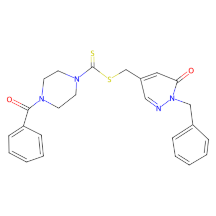 O=C(c1ccccc1)N1CCN(C(=S)SCc2cnn(Cc3ccccc3)c(=O)c2)CC1